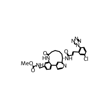 COC(=O)NCc1ccc2c(c1)NC(=O)CCCC[C@H](NC(=O)/C=C/c1cc(Cl)ccc1-n1cnnn1)c1cc-2ccn1